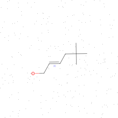 CC(C)(C)C/C=C/C[O]